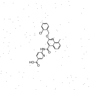 Cc1cccc2c(C(=O)Nc3ccc(C(=O)O)cn3)cc(OCc3ccccc3Cl)nc12